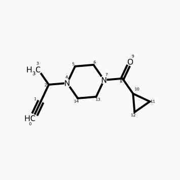 C#CC(C)N1CCN(C(=O)C2CC2)CC1